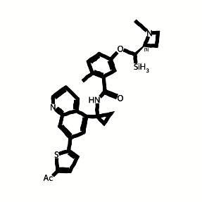 CC(=O)c1ccc(-c2cc(C3(NC(=O)c4cc(OC([SiH3])[C@@H]5CCN5C)ccc4C)CC3)c3cccnc3c2)s1